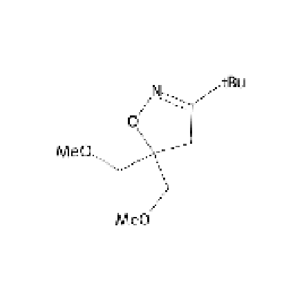 COCC1(COC)CC(C(C)(C)C)=NO1